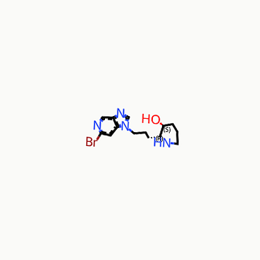 O[C@H]1CCCN[C@@H]1CCCn1cnc2cnc(Br)cc21